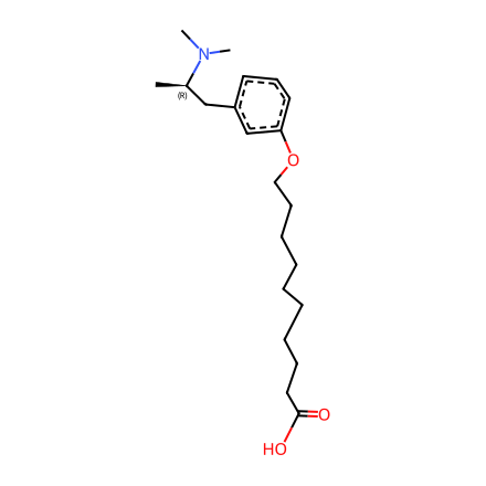 C[C@H](Cc1cccc(OCCCCCCCCCC(=O)O)c1)N(C)C